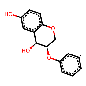 Oc1ccc2c(c1)[C@H](O)[C@H](Oc1ccccc1)CO2